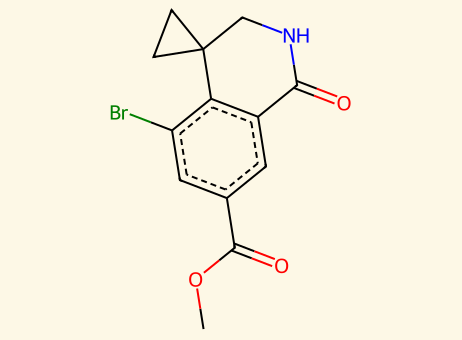 COC(=O)c1cc(Br)c2c(c1)C(=O)NCC21CC1